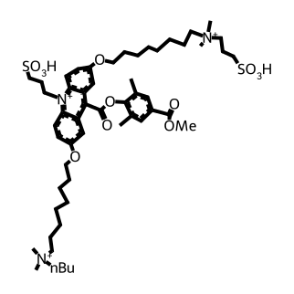 CCCC[N+](C)(C)CCCCCCCCOc1ccc2c(c1)c(C(=O)Oc1c(C)cc(C(=O)OC)cc1C)c1cc(OCCCCCCCC[N+](C)(C)CCCS(=O)(=O)O)ccc1[n+]2CCCS(=O)(=O)O